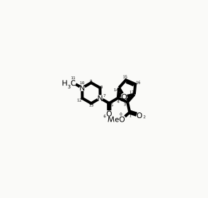 COC(=O)c1c(C(=O)N2CCN(C)CC2)c2ccc1o2